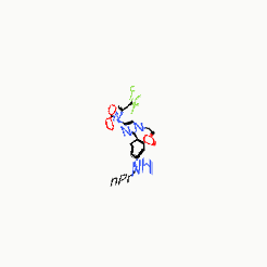 CCCNc1ccc2c(c1)OCCn1cc(N3C(=O)OCC3C(F)F)nc1-2